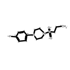 [CH2]CCS(=O)(=O)N1CCN(c2ccc(F)cc2)CC1